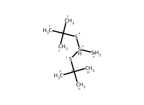 CC(C)(C)S[SiH]([SiH3])SC(C)(C)C